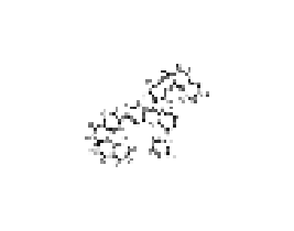 c1ccc(-c2cccc(N(c3ccc(-c4ccc5ccc6ccc7ccccc7c6c5c4)cc3)c3ccc4oc5ccc6ccccc6c5c4c3)c2)cc1